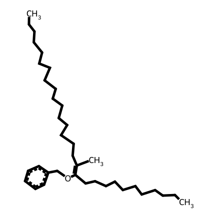 CCCCCCCCCCCCCCCCC(C)=C(CCCCCCCCCCC)OCc1ccccc1